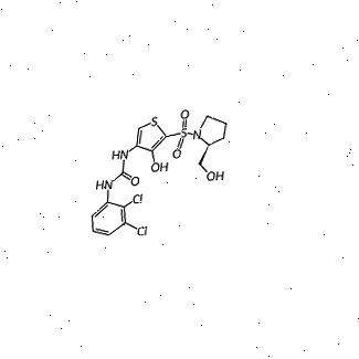 O=C(Nc1csc(S(=O)(=O)N2CCC[C@H]2CO)c1O)Nc1cccc(Cl)c1Cl